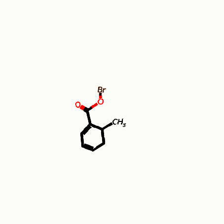 CC1CC=CC=C1C(=O)OBr